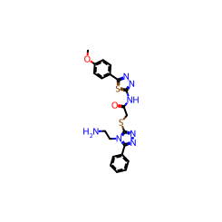 COc1ccc(-c2nnc(NC(=O)CSc3nnc(-c4ccccc4)n3CCN)s2)cc1